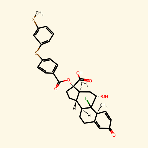 CSc1cccc(Sc2ccc(C(=O)O[C@@]3(C(=O)O)CC[C@H]4[C@@H]5CCC6=CC(=O)C=C[C@]6(C)C5(F)[C@@H](O)C[C@@]43C)cc2)c1